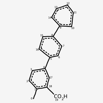 Cc1ccc(-c2ccc(-c3ccccc3)cc2)cc1C(=O)O